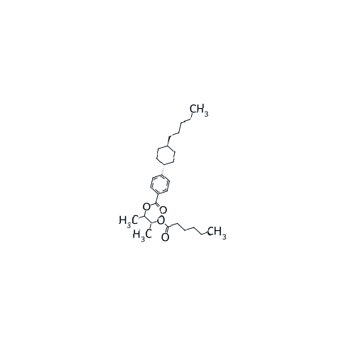 CCCCCC(=O)OC(C)C(C)OC(=O)c1ccc([C@H]2CC[C@H](CCCCC)CC2)cc1